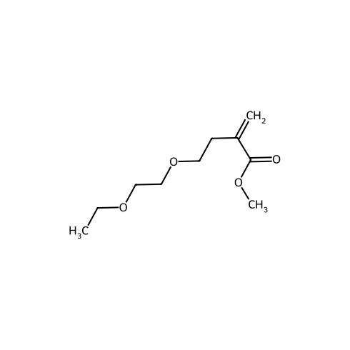 C=C(CCOCCOCC)C(=O)OC